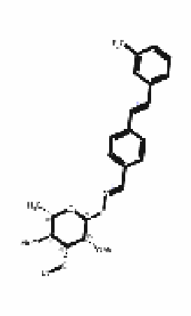 CCO[C@@H]1[C@@H](OC)[C@H](C)O[C@@H](O/N=C/c2ccc(/C=C/c3cccc(C(F)(F)F)c3)cc2)[C@@H]1OC